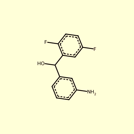 Nc1cccc(C(O)c2cc(F)ccc2F)c1